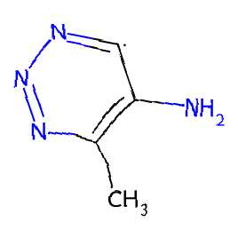 Cc1nnn[c]c1N